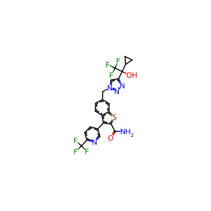 NC(=O)c1sc2cc(Cn3cc(C(O)(C4CC4)C(F)(F)F)nn3)ccc2c1-c1ccc(C(F)(F)F)nc1